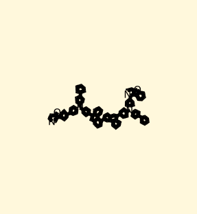 c1ccc(-c2ccc(N(c3ccc(-c4ccc5c(c4)oc4ccncc45)cc3)c3ccc(-c4cc5cccc(-c6ccc7cc(-c8ccc(N(c9ccc(-c%10ccccc%10)cc9)c9ccc(-c%10nccc%11oc%12ccccc%12c%10%11)cc9)cc8)c8ccccc8c7c6)c5c5ccccc45)cc3)cc2)cc1